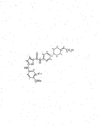 COc1ccc(Nc2nnc(C(=O)Nc3ccc([C@H]4CC[C@H](CC(=O)O)CC4)cc3)o2)cc1F